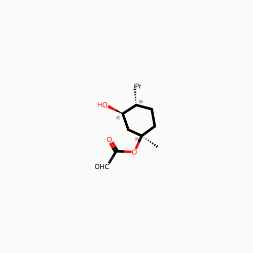 CC(C)[C@@H]1CC[C@@](C)(OC(=O)C=O)C[C@H]1O